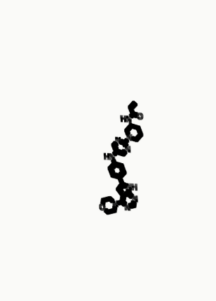 C=CC(=O)N[C@@H]1CCCN(c2ncc(Nc3ccc(-c4cc5c(N6CCOCC6)ncnc5[nH]4)cc3)cn2)C1